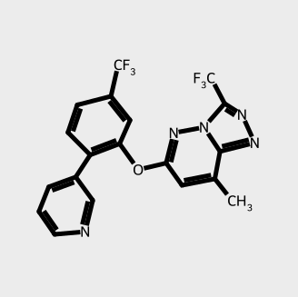 Cc1cc(Oc2cc(C(F)(F)F)ccc2-c2cccnc2)nn2c(C(F)(F)F)nnc12